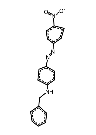 O=[N+]([O-])c1ccc(N=Nc2ccc(NCc3ccccc3)cc2)cc1